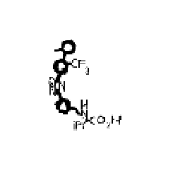 Cc1ccccc1-c1ccc(-c2nc(-c3cccc(CCN[C@H](C(=O)O)C(C)C)c3)no2)cc1C(F)(F)F